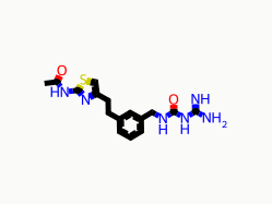 CC(=O)Nc1nc(CCc2cccc(CNC(=O)NC(=N)N)c2)cs1